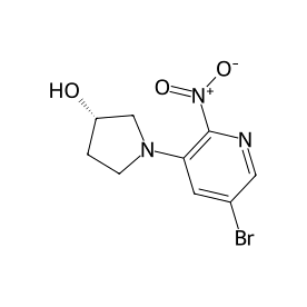 O=[N+]([O-])c1ncc(Br)cc1N1CC[C@H](O)C1